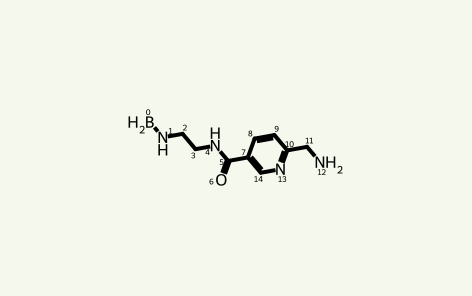 BNCCNC(=O)c1ccc(CN)nc1